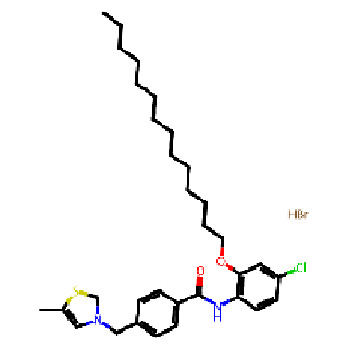 Br.CCCCCCCCCCCCCCOc1cc(Cl)ccc1NC(=O)c1ccc(CN2C=C(C)SC2)cc1